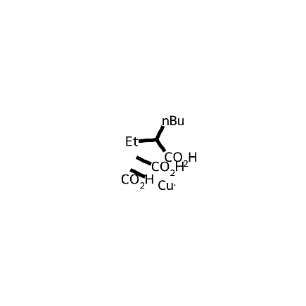 CC(=O)O.CC(=O)O.CCCCC(CC)C(=O)O.[Cu]